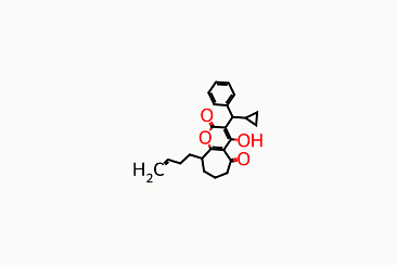 C=CCCC1CCCC(=O)c2c1oc(=O)c(C(c1ccccc1)C1CC1)c2O